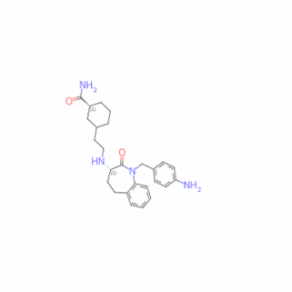 NC(=O)[C@H]1CCCC(CCN[C@H]2CCc3ccccc3N(Cc3ccc(N)cc3)C2=O)C1